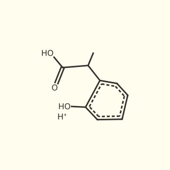 CC(C(=O)O)c1ccccc1O.[H+]